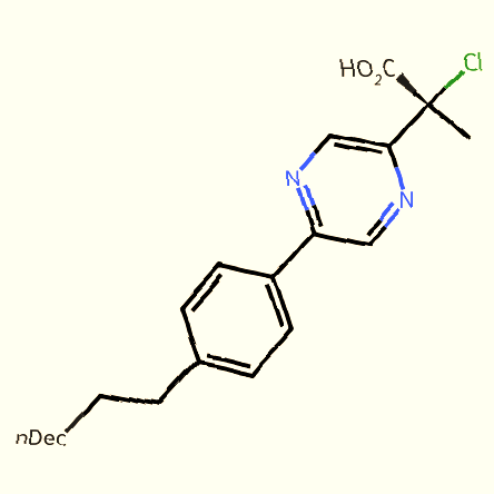 CCCCCCCCCCCCc1ccc(-c2cnc([C@@](C)(Cl)C(=O)O)cn2)cc1